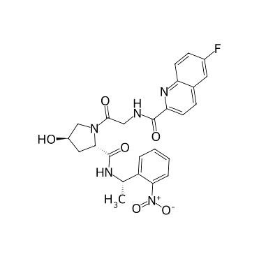 C[C@H](NC(=O)[C@@H]1C[C@@H](O)CN1C(=O)CNC(=O)c1ccc2cc(F)ccc2n1)c1ccccc1[N+](=O)[O-]